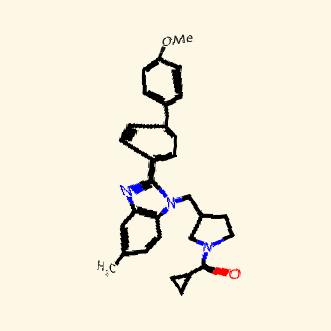 COc1ccc(-c2ccc(-c3nc4cc(C)ccc4n3CC3CCN(C(=O)C4CC4)C3)cc2)cc1